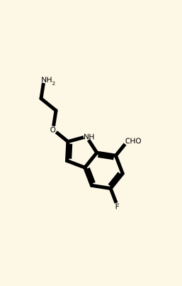 NCCOc1cc2cc(F)cc(C=O)c2[nH]1